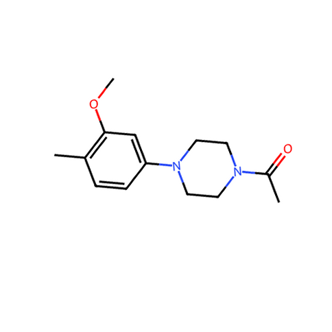 COc1cc(N2CCN(C(C)=O)CC2)ccc1C